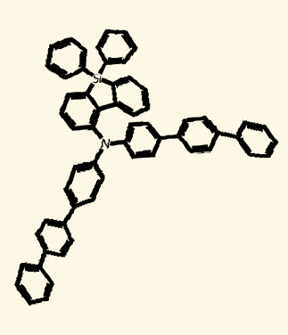 c1ccc(-c2ccc(-c3ccc(N(c4ccc(-c5ccc(-c6ccccc6)cc5)cc4)c4cccc5c4-c4ccccc4[Si]5(c4ccccc4)c4ccccc4)cc3)cc2)cc1